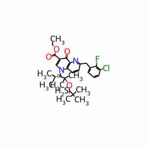 CCOC(=O)c1cn([C@@H](C(C)C)C(C)(C)O[SiH2]C(C)(C)C)c2ccc(Cc3cccc(Cl)c3F)nc2c1=O